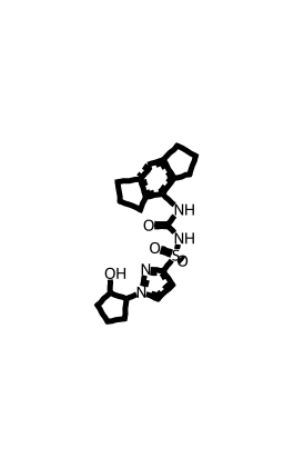 O=C(Nc1c2c(cc3c1CCC3)CCC2)NS(=O)(=O)c1ccn(C2CCCC2O)n1